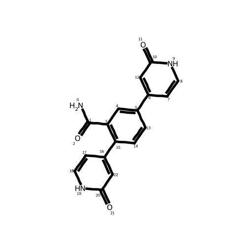 NC(=O)c1cc(-c2cc[nH]c(=O)c2)ccc1-c1cc[nH]c(=O)c1